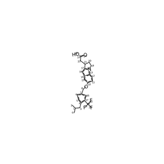 CC(C)Cc1ccc(COc2ccc3c(c2)cc2n3CCC2CC(=O)O)cc1C(F)(F)F